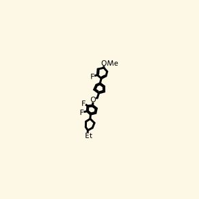 CCC1CCC(c2ccc(OCc3ccc(C4=CCC(OC)C=C4F)cc3)c(F)c2F)CC1